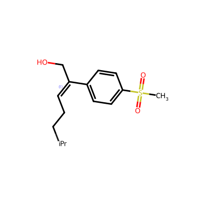 CC(C)CC/C=C(/CO)c1ccc(S(C)(=O)=O)cc1